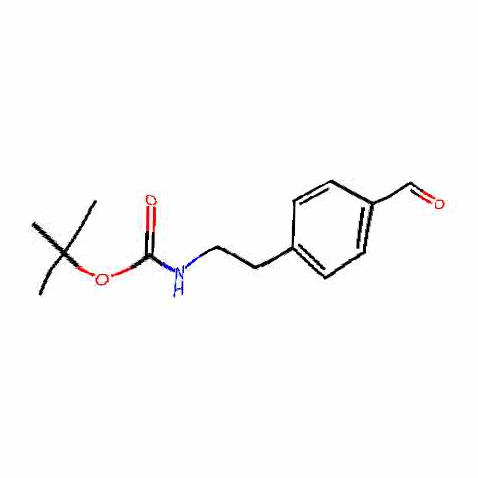 CC(C)(C)OC(=O)NCCc1ccc(C=O)cc1